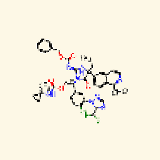 CC(C)(C)C[C@]1(c2ccc3c(C=O)nccc3c2)NC(=NC(=O)OCc2ccccc2)N([C@H](COC(=O)NC2(C(F)(F)F)CC2)c2ccc(Cl)c(-n3ncnc3C(F)F)c2)C1=O